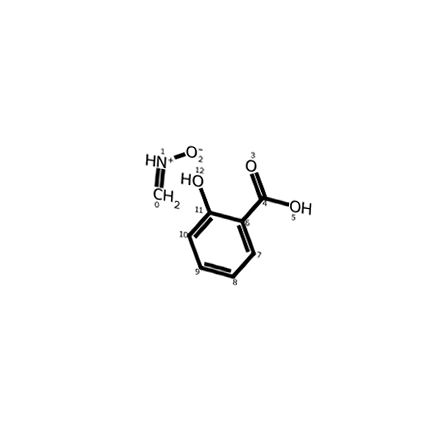 C=[NH+][O-].O=C(O)c1ccccc1O